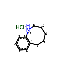 Cl.c1ccc2c(c1)CCCCCN2